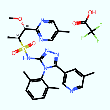 CO[C@H](c1ncc(C)cn1)[C@H](C)S(=O)(=O)Nc1nnc(-c2cncc(C)c2)n1-c1c(C)cccc1C.O=C(O)C(F)(F)F